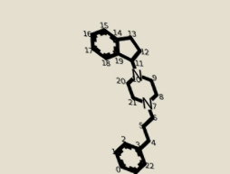 c1ccc(CCCN2CCN(C3CCc4ccccc43)CC2)cc1